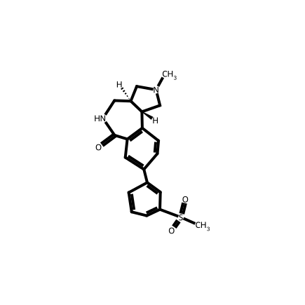 CN1C[C@@H]2CNC(=O)c3cc(-c4cccc(S(C)(=O)=O)c4)ccc3[C@H]2C1